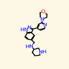 c1cc(-c2n[nH]c3ccc(CNC4CCCNC4)cc23)cc(N2CCOCC2)n1